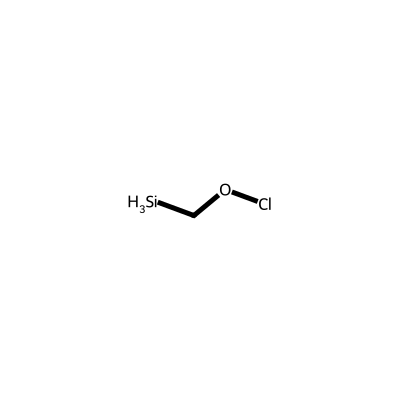 [SiH3]COCl